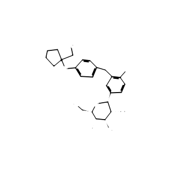 OC[C@H]1O[C@@H](c2ccc(Cl)c(Cc3ccc(OC4(CO)CCCC4)cc3)c2)[C@H](O)[C@@H](O)[C@@H]1O